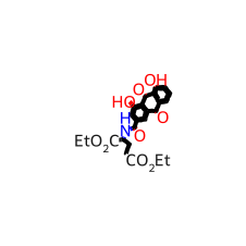 CCOC(=O)CCC(NC(=O)c1cc(O)c2c(c1)C(=O)c1cccc(O)c1C2=O)C(=O)OCC